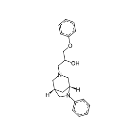 OC(COc1ccccc1)CN1C[C@@H]2C[C@H](C1)N(c1ccccc1)C2